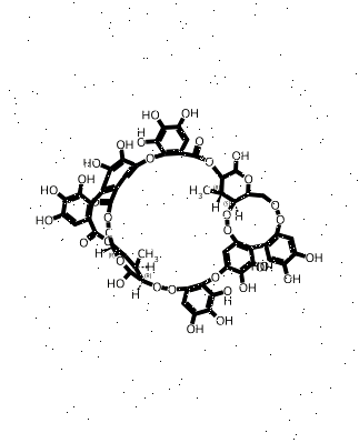 C[C@@H]1C2OC(=O)c3cc(O)c(O)c(O)c3Oc3cc4c(c(O)c3O)-c3c(cc(O)c(O)c3O)C(=O)OC3[C@@H](C)[C@@H](OOc5cc(O)c(O)c(O)c5Oc5cc6c(c(O)c5O)-c5c(cc(O)c(O)c5O)OOCC(OC2O)[C@H]1OO6)C(O)O[C@@H]3COC4=O